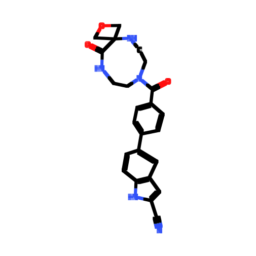 N#Cc1cc2cc(-c3ccc(C(=O)N4CCNC(=O)C5(COC5)NCC4)cc3)ccc2[nH]1